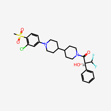 CS(=O)(=O)c1ccc(N2CCC(C3CCN(C(=O)[C@](O)(c4ccccc4)C(F)F)CC3)CC2)cc1Cl